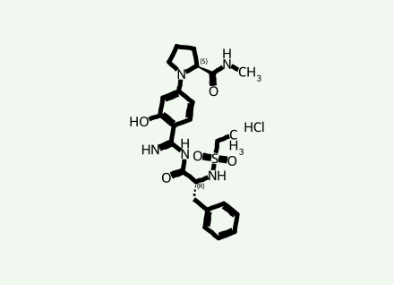 CCS(=O)(=O)N[C@H](Cc1ccccc1)C(=O)NC(=N)c1ccc(N2CCC[C@H]2C(=O)NC)cc1O.Cl